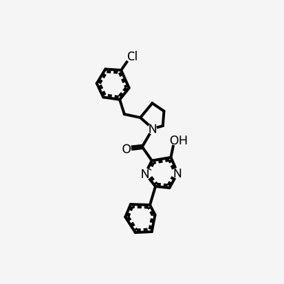 O=C(c1nc(-c2ccccc2)cnc1O)N1CCCC1Cc1cccc(Cl)c1